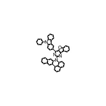 c1ccc(-n2c3ccccc3c3cc(-c4nc(N5c6cc7ccccc7cc6-c6cccc7cccc5c67)nc5c4oc4ccccc45)ccc32)cc1